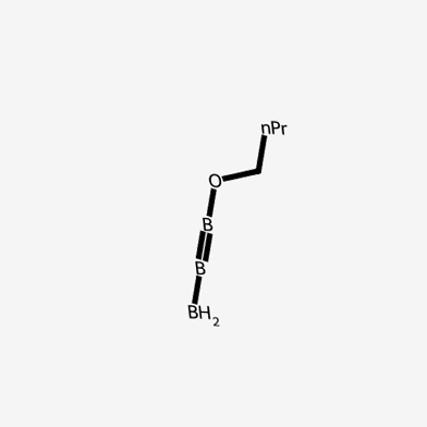 BB=BOCCCC